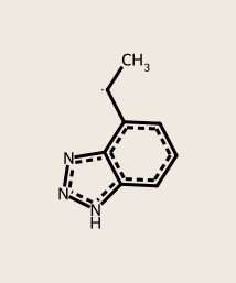 C[CH]c1cccc2[nH]nnc12